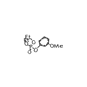 CCOP(=O)(OCC)Oc1cccc(OC)c1